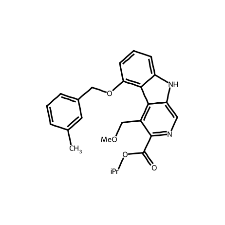 COCc1c(C(=O)OC(C)C)ncc2[nH]c3cccc(OCc4cccc(C)c4)c3c12